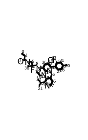 C=CC(=O)N1CC(F)(CN2C=CN(c3c(C)ccnc3C(C)C)c3nc(-c4ccc(C)cc4F)c(Cl)cc32)C1